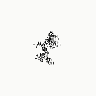 CCCO[C@H](C[C@H](C(C)C)N(CCO)C(=O)[C@@H](NC(=O)[C@H]1CCCCN1C)[C@@H](C)CC)c1nc(C(=O)N[C@@H](Cc2ccc(O)cc2)C[C@H](C)C(=O)O)cs1